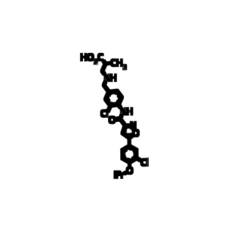 CC(C)Oc1ccc(-c2cc(C(=O)Nc3ccc(CNCC(C)C(=O)O)cc3Cl)no2)cc1Cl